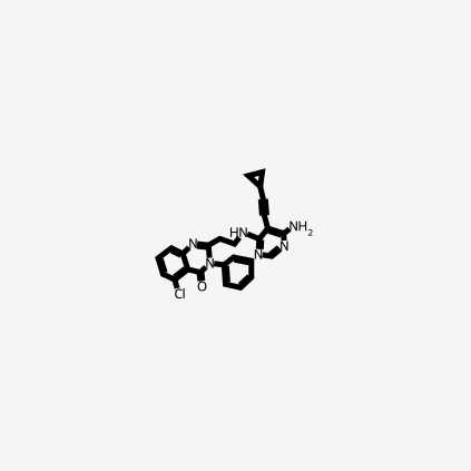 Nc1ncnc(NCCc2nc3cccc(Cl)c3c(=O)n2-c2ccccc2)c1C#CC1CC1